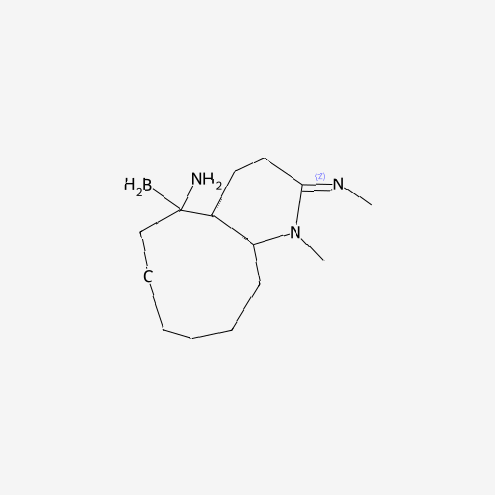 BC1(N)CCCCCCC2C1CC/C(=N/C)N2C